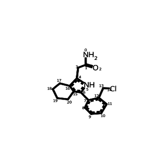 NC(=O)Cc1[nH]c(-c2ccccc2CCl)c2c1CCCC2